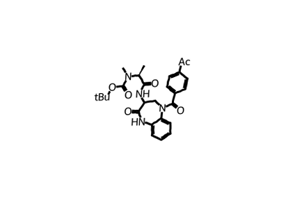 CC(=O)c1ccc(C(=O)N2CC(NC(=O)[C@H](C)N(C)C(=O)OC(C)(C)C)C(=O)Nc3ccccc32)cc1